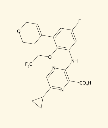 O=C(O)c1nc(C2CC2)cnc1Nc1cc(F)cc(C2=CCOCC2)c1OCC(F)(F)F